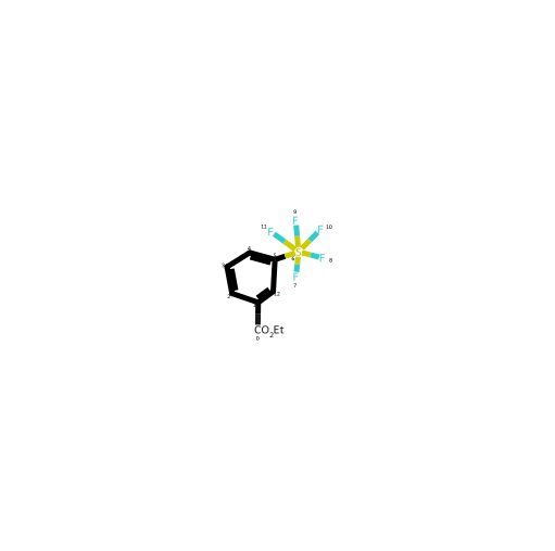 CCOC(=O)c1cccc(S(F)(F)(F)(F)F)c1